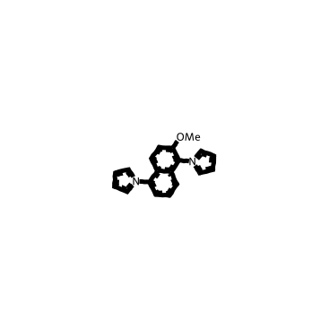 COc1ccc2c(-n3cccc3)cccc2c1-n1cccc1